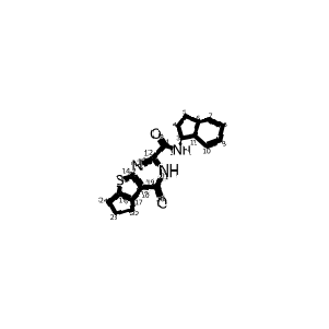 O=C(N[C@H]1CCC2C=CC=CC21)c1nc2sc3c(c2c(=O)[nH]1)CCC3